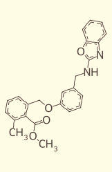 COC(=O)c1c(C)cccc1COc1cccc(CNc2nc3ccccc3o2)c1